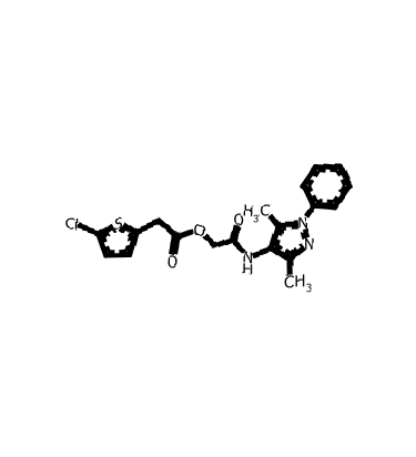 Cc1nn(-c2ccccc2)c(C)c1NC(=O)COC(=O)Cc1ccc(Cl)s1